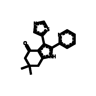 CC1(C)CC(=O)c2c([nH]c(-c3ccccn3)c2-c2cncs2)C1